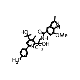 COc1cc(C(=O)NCC(O)(c2nc(-c3ccc(P)cc3)cc(C(C)(C)O)c2C)C(F)(F)F)cc2cc(C)nnc12